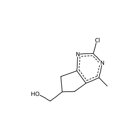 Cc1nc(Cl)nc2c1CC(CO)C2